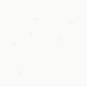 COc1cc(C(=O)N(C)C)cc(OC)c1CCN1CCC(n2ccc3ccc(C(N)=O)cc32)CC1